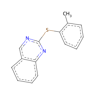 Cc1ccccc1Sc1ncc2ccccc2n1